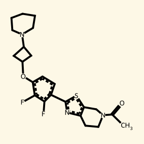 CC(=O)N1CCc2nc(-c3ccc(OC4CC(N5CCCCC5)C4)c(F)c3F)sc2C1